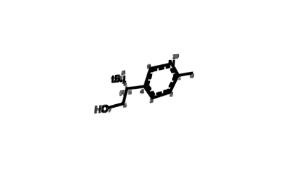 Cc1ccc([C@H](CO)C(C)(C)C)cn1